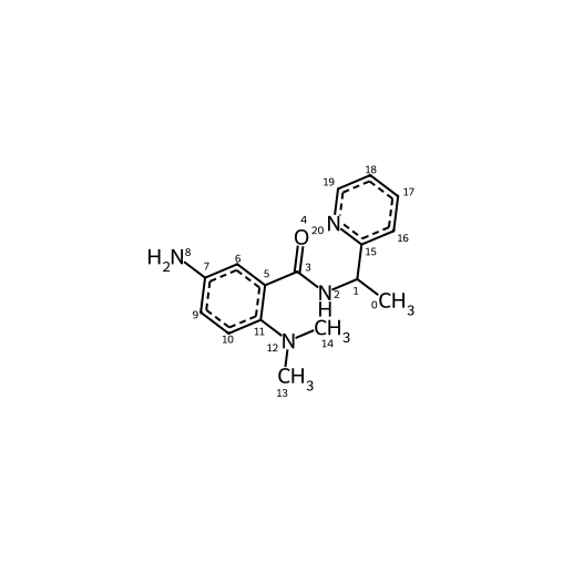 CC(NC(=O)c1cc(N)ccc1N(C)C)c1ccccn1